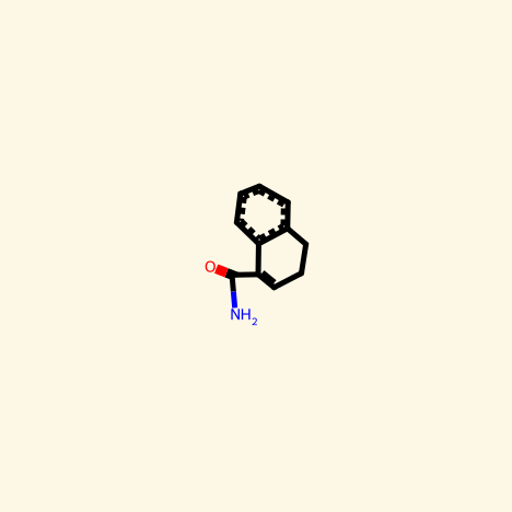 NC(=O)C1=CCCc2ccccc21